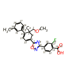 COCC1(C)CC(c2nc(-c3ccc(C(=O)O)c(F)c3)no2)=CC=C1c1cccc(C)c1